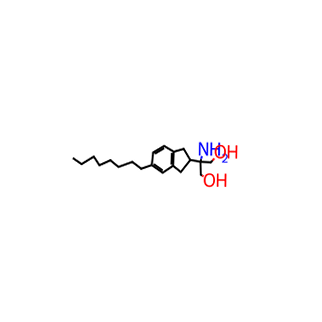 CCCCCCCCc1ccc2c(c1)CC(C(N)(CO)CO)C2